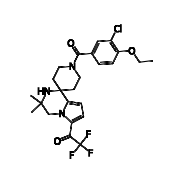 CCOc1ccc(C(=O)N2CCC3(CC2)NC(C)(C)Cn2c(C(=O)C(F)(F)F)ccc23)cc1Cl